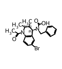 CC(=O)N1c2ccc(Br)cc2[C@H](N(Cc2ccccc2)C(=O)O)[C@H](C)[C@@H]1C